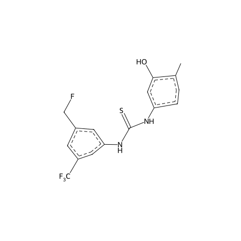 Cc1ccc(NC(=S)Nc2cc(CF)cc(C(F)(F)F)c2)cc1O